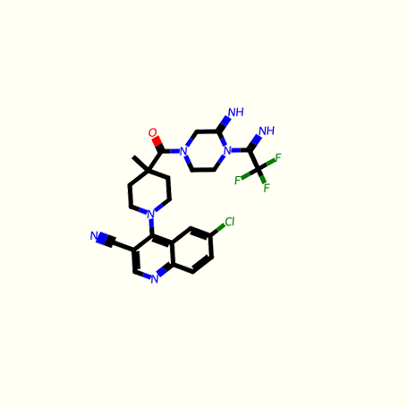 CC1(C(=O)N2CCN(C(=N)C(F)(F)F)C(=N)C2)CCN(c2c(C#N)cnc3ccc(Cl)cc23)CC1